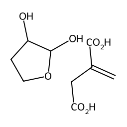 C=C(CC(=O)O)C(=O)O.OC1CCOC1O